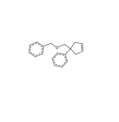 C1=CCC(COCc2ccccc2)(c2ccccc2)C1